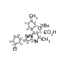 Cc1ccc(-c2c([C@H](OC(C)(C)C)C(=O)O)c(C)nc3cc(-c4cccc(Cl)c4)nn23)cc1